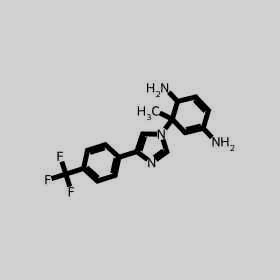 CC1(n2cnc(-c3ccc(C(F)(F)F)cc3)c2)C=C(N)C=CC1N